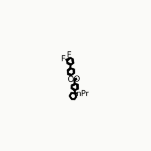 CCCC1(c2ccc(C(=O)Oc3ccc(-c4ccc(F)c(F)c4)cc3)cc2)CCCCC1